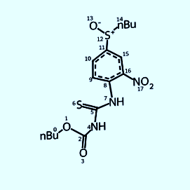 CCCCOC(=O)NC(=S)Nc1ccc([S+]([O-])CCCC)cc1[N+](=O)[O-]